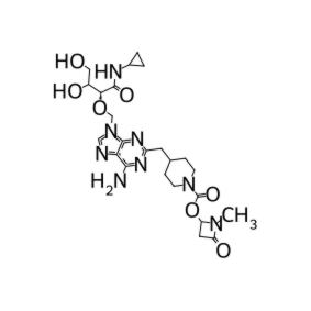 CN1C(=O)CC1OC(=O)N1CCC(Cc2nc(N)c3ncn(CO[C@H](C(=O)NC4CC4)C(O)CO)c3n2)CC1